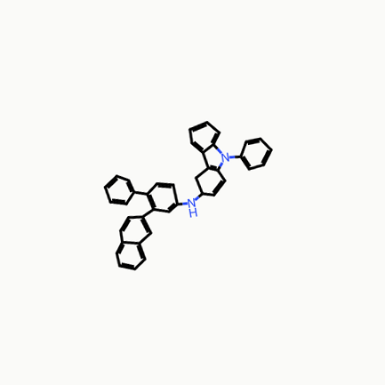 C1=CC(Nc2ccc(-c3ccccc3)c(-c3ccc4ccccc4c3)c2)Cc2c1n(-c1ccccc1)c1ccccc21